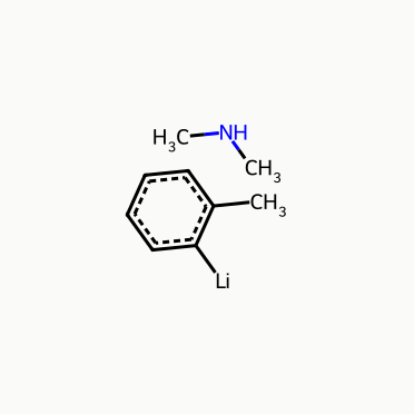 CNC.[Li][c]1ccccc1C